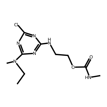 CCN(C)c1nc(Cl)nc(NCCOC(=O)NC)n1